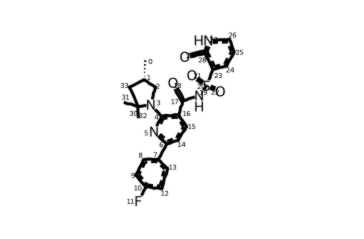 C[C@@H]1CN(c2nc(-c3ccc(F)cc3)ccc2C(=O)NS(=O)(=O)c2ccc[nH]c2=O)C(C)(C)C1